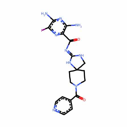 Nc1nc(N)c(C(=O)/N=C2\NCC3(CCN(C(=O)c4ccncc4)CC3)N2)nc1I